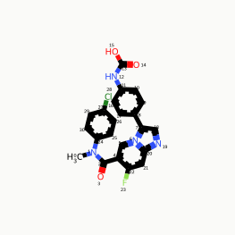 CN(C(=O)c1cn2c(-c3ccc(NC(=O)O)cc3)cnc2cc1F)c1ccc(Cl)cc1